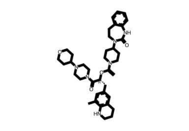 C=C(O[C@H](Cc1cc(C)c2c(c1)CCCN2)C(=O)N1CCN(C2CCOCC2)CC1)N1CCC(N2CCc3ccccc3NC2=O)CC1